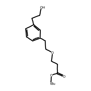 CC(C)(C)OC(=O)CCOCCc1cccc(CCO)c1